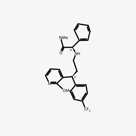 CNC(=O)[C@H](NCC[C@@H](c1ccc(C(F)(F)F)cc1)c1cccnc1OC)c1ccccc1